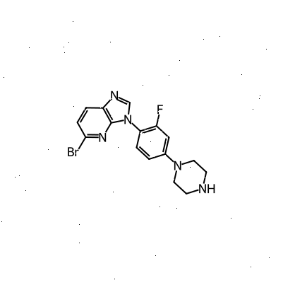 Fc1cc(N2CCNCC2)ccc1-n1cnc2ccc(Br)nc21